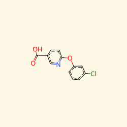 O=C(O)c1ccc(Oc2cccc(Cl)c2)nc1